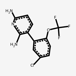 Nc1ccc(-c2cc(Cl)ccc2OC(F)(F)F)c(N)n1